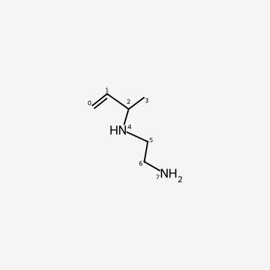 C=CC(C)NCCN